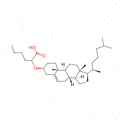 CCCCC(O[C@H]1CC[C@@]2(C)C(=CC[C@H]3[C@@H]4CC[C@H]([C@H](C)CCCC(C)C)[C@@]4(C)CC[C@@H]32)C1)C(=O)O